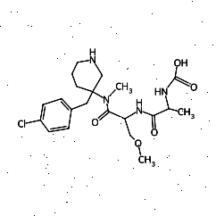 COCC(NC(=O)C(C)NC(=O)O)C(=O)N(C)C1(Cc2ccc(Cl)cc2)CCCNC1